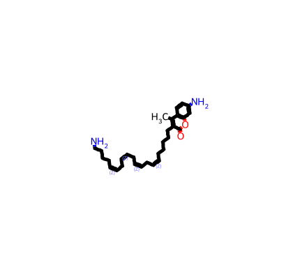 Cc1c(CCCCC/C=C\C/C=C\C/C=C\C/C=C\CCCCN)c(=O)oc2cc(N)ccc12